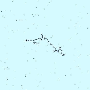 CCCCCC(CCCCC)CCCOC(=O)C(C)(C)CCCCCCOC(=O)[C@@H]1CC(O)CN1